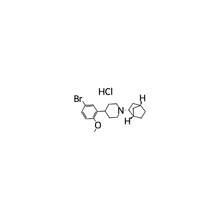 COc1ccc(Br)cc1C1CCN([C@@H]2C[C@@H]3CC[C@H]2C3)CC1.Cl